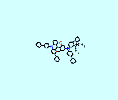 CC1(C)c2ccccc2-c2ccc(N(c3ccc(-c4ccccc4)cc3)c3cc4c5c(cccc5c3)-c3c(cccc3N(c3ccc(-c5ccccc5)cc3)c3ccc(-c5ccccc5)cc3)O4)cc21